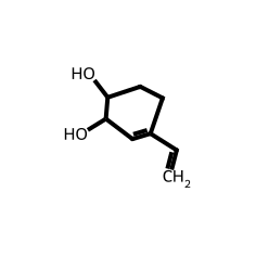 C=CC1=CC(O)C(O)CC1